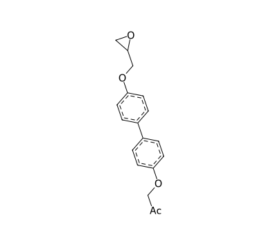 CC(=O)COc1ccc(-c2ccc(OCC3CO3)cc2)cc1